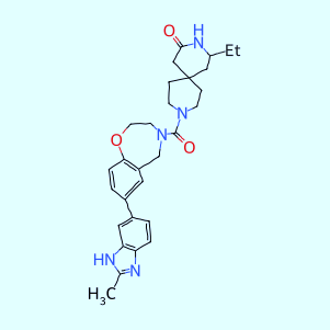 CCC1CC2(CCN(C(=O)N3CCOc4ccc(-c5ccc6nc(C)[nH]c6c5)cc4C3)CC2)CC(=O)N1